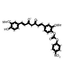 COc1cc(/C=C/C(=O)CC(=O)/C=C/c2ccc(OC(=O)Oc3ccc([N+](=O)[O-])cc3)c(OC)c2)ccc1O